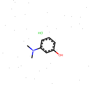 CN(C)c1cccc(O)c1.Cl